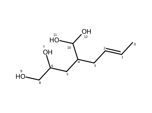 CC=CCC(CC(O)CO)C(O)O